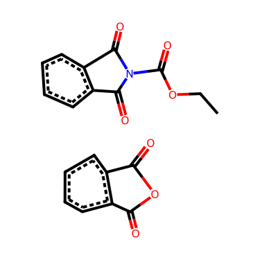 CCOC(=O)N1C(=O)c2ccccc2C1=O.O=C1OC(=O)c2ccccc21